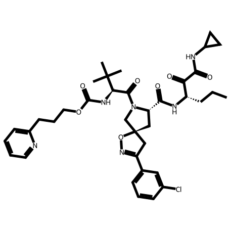 CCC[C@H](NC(=O)[C@@H]1C[C@]2(CC(c3cccc(Cl)c3)=NO2)CN1C(=O)[C@@H](NC(=O)OCCCc1ccccn1)C(C)(C)C)C(=O)C(=O)NC1CC1